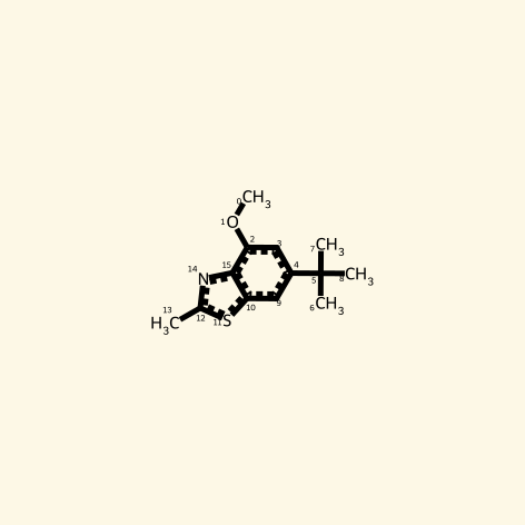 COc1cc(C(C)(C)C)cc2sc(C)nc12